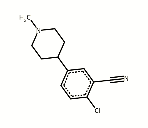 CN1CCC(c2ccc(Cl)c(C#N)c2)CC1